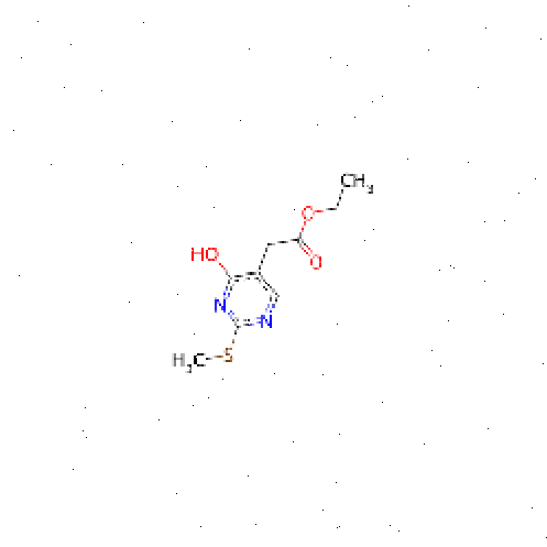 CCOC(=O)Cc1cnc(SC)nc1O